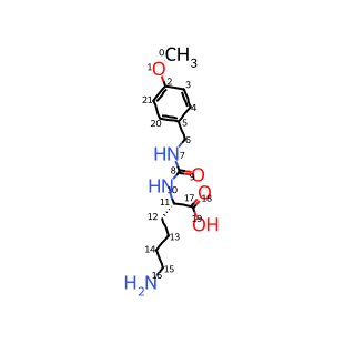 COc1ccc(CNC(=O)N[C@@H](CCCCN)C(=O)O)cc1